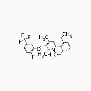 CCc1cccc(CC)c1-c1cc(C)c(COc2cc(C(F)(F)F)ccc2F)c(C)n1